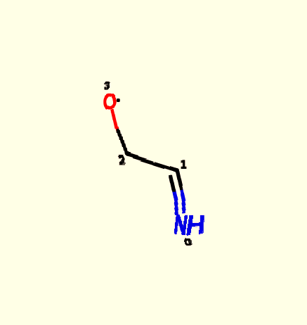 N=CC[O]